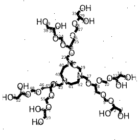 OCC(O)OCOCC(OCOC(O)CO)OCN1CCN(COC(COCOC(O)CO)OCO[C@@H](O)CO)CCN(CO[C@H](COCO[C@@H](O)CO)OCO[C@@H](O)CO)CC1